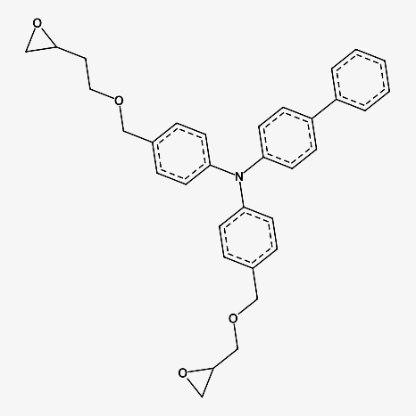 c1ccc(-c2ccc(N(c3ccc(COCCC4CO4)cc3)c3ccc(COCC4CO4)cc3)cc2)cc1